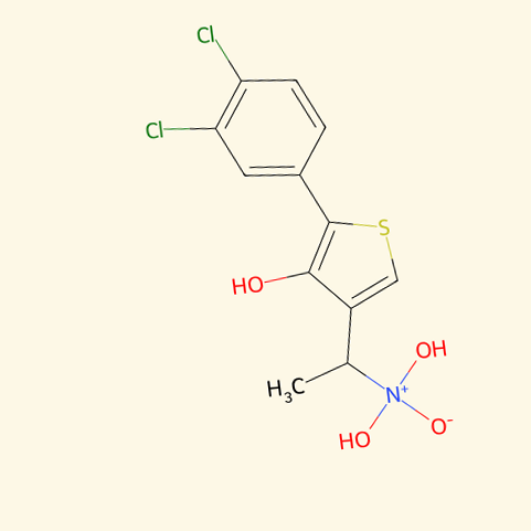 CC(c1csc(-c2ccc(Cl)c(Cl)c2)c1O)[N+]([O-])(O)O